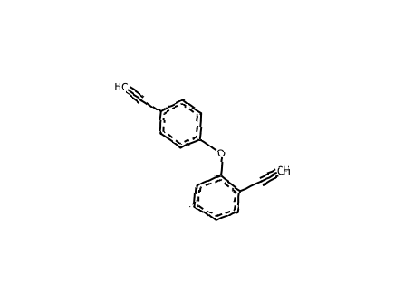 C#Cc1ccc(Oc2c[c]ccc2C#C)cc1